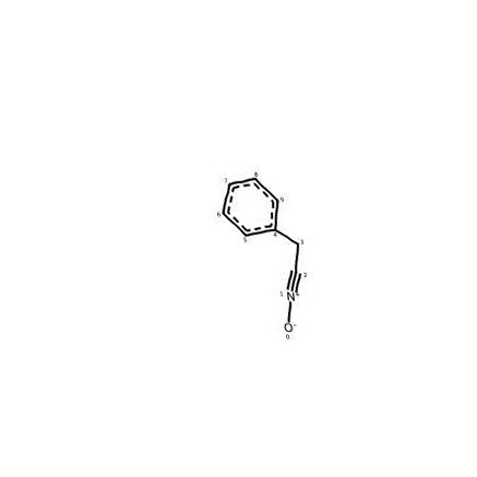 [O-][N+]#CCc1ccccc1